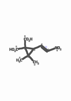 CC1(C)C(/C=C/[N+](=O)[O-])C1(C(=O)O)C(=O)O